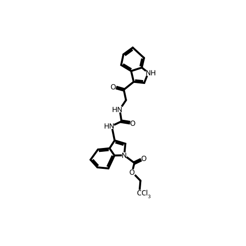 O=C(NCC(=O)c1c[nH]c2ccccc12)Nc1cn(C(=O)OCC(Cl)(Cl)Cl)c2ccccc12